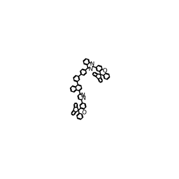 c1cc(-c2ccc(-c3nc(-c4ccc5c(c4)C4(c6ccccc6O5)c5ccccc5-c5ccccc54)nc4ccccc34)cc2)cc(-c2ccc(-c3ccc(-c4ccc5c(c4)C4(c6ccccc6O5)c5ccccc5-c5ccccc54)nn3)c3ccccc23)c1